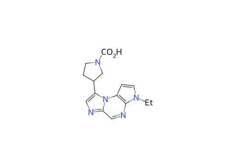 CCn1ccc2c1ncc1ncc(C3CCN(C(=O)O)C3)n12